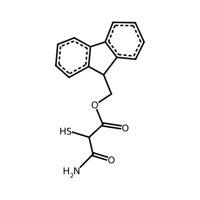 NC(=O)C(S)C(=O)OCC1c2ccccc2-c2ccccc21